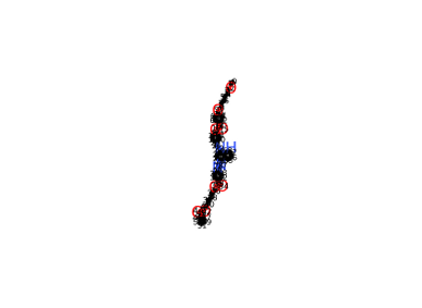 C=COCCCCCCOc1ccc(C(=O)Oc2ccc(CNc3ccc(/N=N/c4ccc(C(=O)OCCCCCCOC(=O)C(C)(C)C(C)(C)C)cc4)c4ccccc34)cc2)cc1